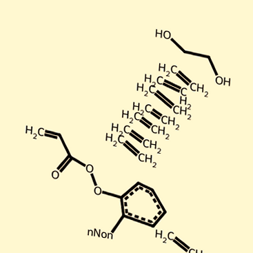 C=C.C=C.C=C.C=C.C=C.C=C.C=C.C=C.C=CC(=O)OOc1ccccc1CCCCCCCCC.OCCO